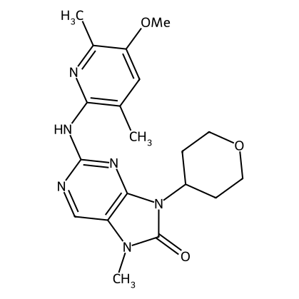 COc1cc(C)c(Nc2ncc3c(n2)n(C2CCOCC2)c(=O)n3C)nc1C